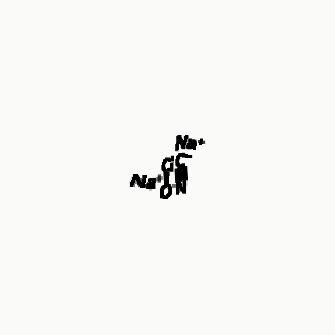 [C-]#N.[Na+].[Na+].[O-]Cl